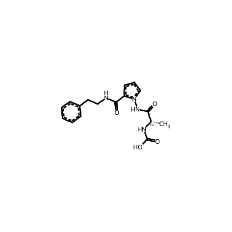 C[C@H](NC(=O)O)C(=O)Nn1cccc1C(=O)NCCc1ccccc1